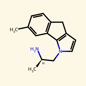 Cc1ccc2c(c1)-c1c(ccn1C[C@@H](C)N)C2